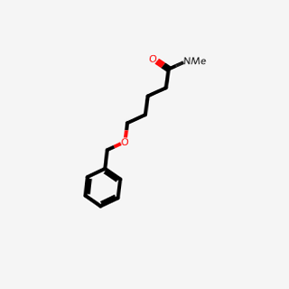 CNC(=O)CCCCOCc1ccccc1